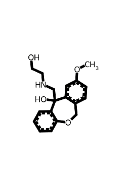 COc1ccc2c(c1)C(O)(CNCCO)c1ccccc1OC2